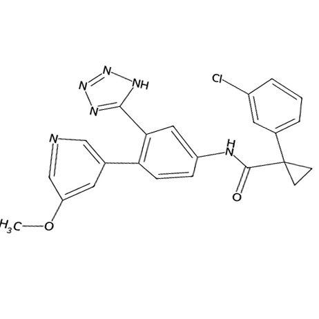 COc1cncc(-c2ccc(NC(=O)C3(c4cccc(Cl)c4)CC3)cc2-c2nnn[nH]2)c1